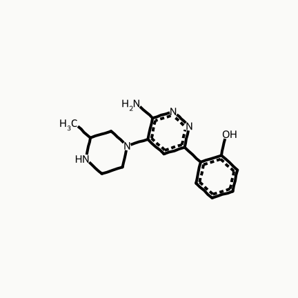 CC1CN(c2cc(-c3ccccc3O)nnc2N)CCN1